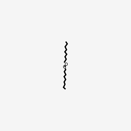 CCCCCCCCCOOCCCCCCCCC